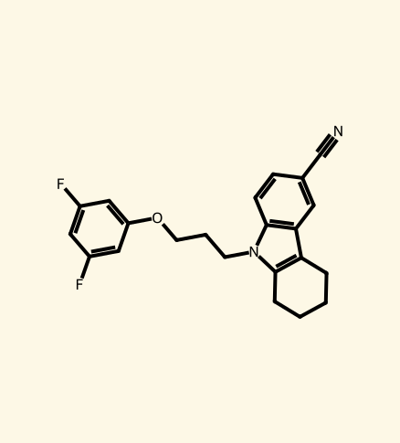 N#Cc1ccc2c(c1)c1c(n2CCCOc2cc(F)cc(F)c2)CCCC1